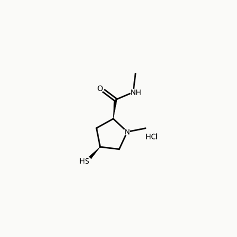 CNC(=O)[C@@H]1C[C@H](S)CN1C.Cl